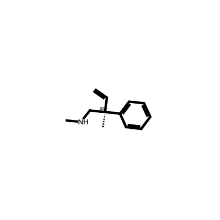 C=C[C@](C)(CNC)c1ccccc1